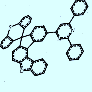 c1ccc(-c2cc(-c3ccc4c(c3)-c3c(ccc5oc6ccccc6c35)C43c4ccccc4Sc4ccccc43)nc(-c3ccccc3)n2)cc1